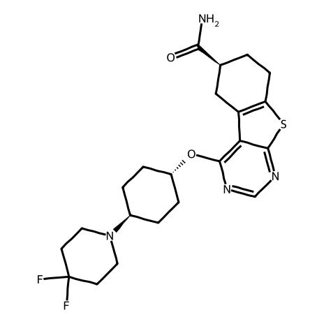 NC(=O)[C@H]1CCc2sc3ncnc(O[C@H]4CC[C@H](N5CCC(F)(F)CC5)CC4)c3c2C1